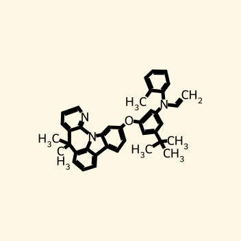 C=CN(c1cc(Oc2ccc3c4cccc5c4n(c3c2)-c2ncccc2C5(C)C)cc(C(C)(C)C)c1)c1ccccc1C